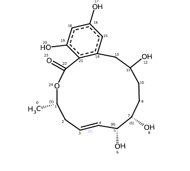 C[C@H]1C/C=C/[C@@H](O)[C@@H](O)CCC(O)Cc2cc(O)cc(O)c2C(=O)O1